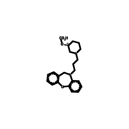 O=C(O)O[C@@H]1CCCN(CCCN2Cc3ccccc3Oc3ccccc32)C1